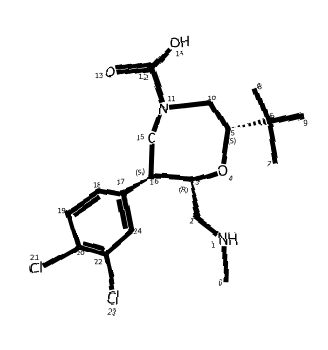 CNC[C@@H]1O[C@@H](C(C)(C)C)CN(C(=O)O)C[C@@H]1c1ccc(Cl)c(Cl)c1